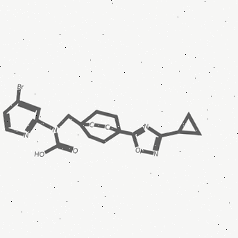 O=C(O)N(CC12CCC(c3nc(C4CC4)no3)(CC1)CC2)c1cc(Br)ccn1